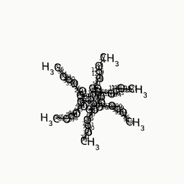 CCCCOc1ccc(OC/C=C/C(=O)Oc2cc3c4cc(OC(=O)/C=C/COc5ccc(OCCCC)cc5)c(OC(=O)/C=C/COc5ccc(OCCCC)cc5)cc4c4cc(OC(=O)/C=C/COc5ccc(OCCCC)cc5)c(OC(=O)/C=C/COc5ccc(OCCCC)cc5)cc4c3cc2OC(=O)/C=C/COc2ccc(OCCCC)cc2)cc1